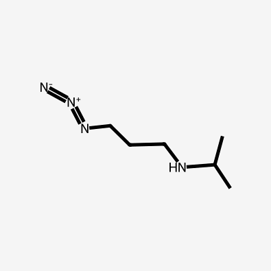 CC(C)NCCCN=[N+]=[N-]